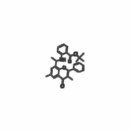 Cc1cc(C(C)Nc2ccccc2C(=O)OC(C)(C)C)c2oc(-c3ccccc3)c(C)c(=O)c2c1